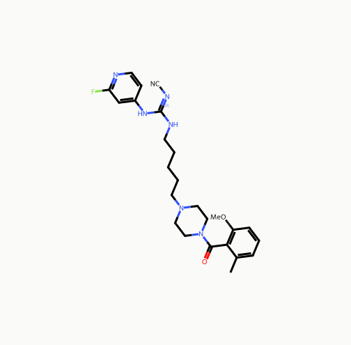 COc1cccc(C)c1C(=O)N1CCN(CCCCCN/C(=N/C#N)Nc2ccnc(F)c2)CC1